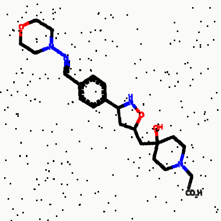 O=C(O)CN1CCC(O)(CC2CC(c3ccc(C=NN4CCOCC4)cc3)NO2)CC1